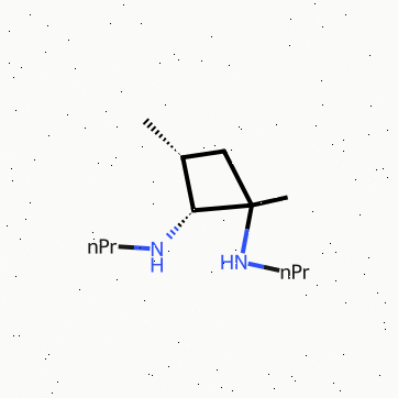 CCCN[C@@H]1[C@H](C)CC1(C)NCCC